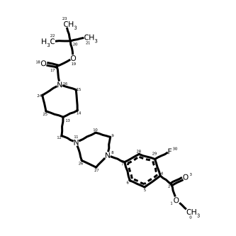 COC(=O)c1ccc(N2CCN(CC3CCN(C(=O)OC(C)(C)C)CC3)CC2)cc1F